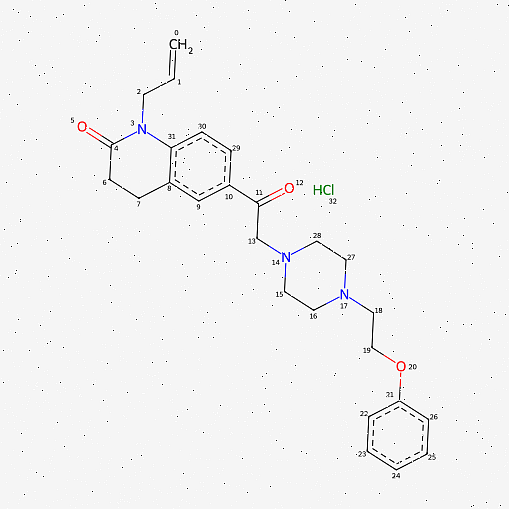 C=CCN1C(=O)CCc2cc(C(=O)CN3CCN(CCOc4ccccc4)CC3)ccc21.Cl